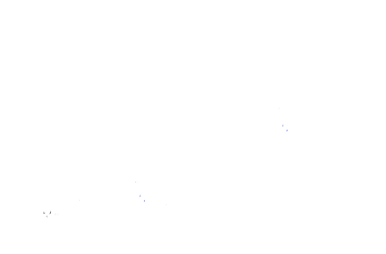 C=C(COc1ccccc1)Nc1ccc(Oc2ccc(NC(=O)c3cccc(OC)c3)cc2)cc1